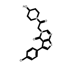 O=C(Cn1cnc2scc(-c3ccc(Cl)cc3)c2c1=O)N1CCC(O)CC1